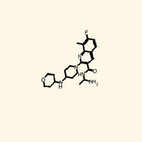 Cc1c(F)ccc2cc(C(=O)NC(C)N)c(N3CCC(NC4CCOCC4)CC3)nc12